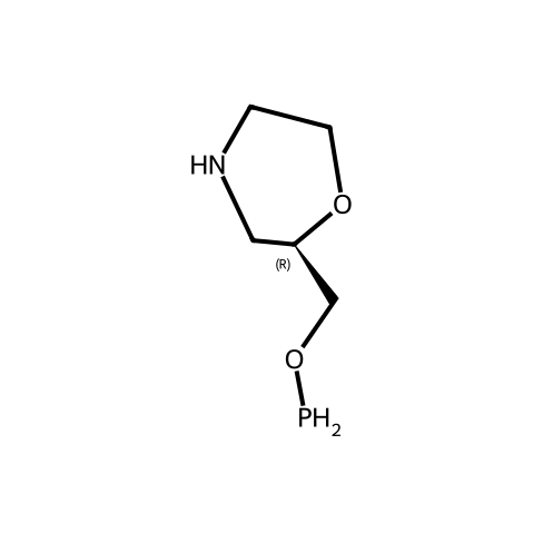 POC[C@H]1CNCCO1